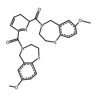 COc1ccc2c(c1)CN(C(=O)C1=NC(C(=O)N3CCSc4ccc(OC)cc4C3)CC=C1)CCS2